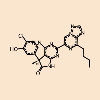 CCCCc1nc(-c2nc(N)c3c(n2)NC(=O)[C@]3(C)c2ccc(Cl)c(O)c2)cn2ncnc12